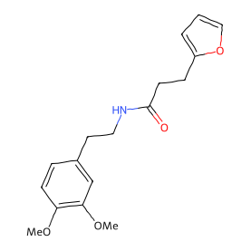 COc1ccc(CCNC(=O)CCc2ccco2)cc1OC